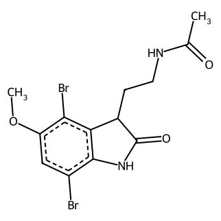 COc1cc(Br)c2c(c1Br)C(CCNC(C)=O)C(=O)N2